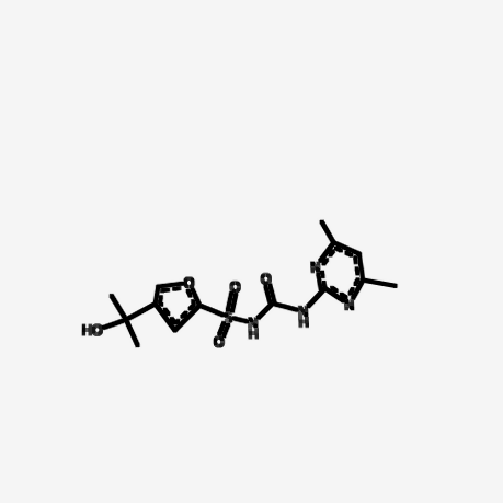 Cc1cc(C)nc(NC(=O)NS(=O)(=O)c2cc(C(C)(C)O)co2)n1